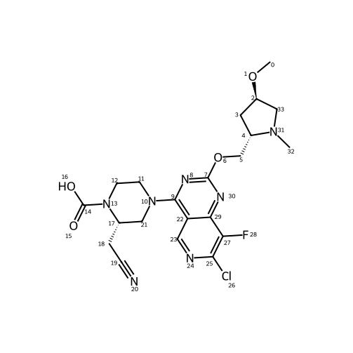 CO[C@@H]1C[C@@H](COc2nc(N3CCN(C(=O)O)[C@@H](CC#N)C3)c3cnc(Cl)c(F)c3n2)N(C)C1